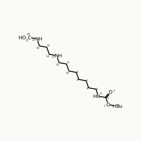 CC(C)(C)OC(=O)NCCCCCCCCNCCCNC(=O)O